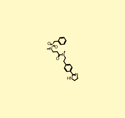 CN(CCc1ccc(C2=NCCN2)cc1)C(=O)CCN(C)S(=O)(=O)Cc1ccccc1